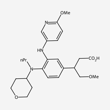 CCCN(c1ccc(C(COC)CC(=O)O)cc1Nc1ccc(OC)nc1)C1CCOCC1